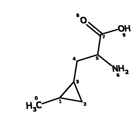 CC1CC1CC(N)C(=O)O